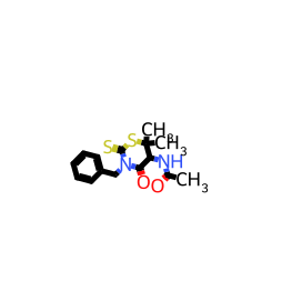 CC(=O)NC1C(=O)N(Cc2ccccc2)C(=S)SC1(C)C